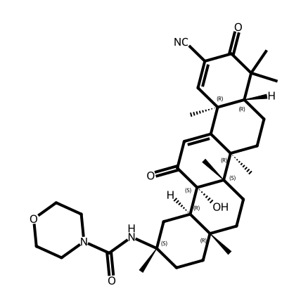 CC1(C)C(=O)C(C#N)=C[C@]2(C)C3=CC(=O)[C@]4(O)[C@@H]5C[C@@](C)(NC(=O)N6CCOCC6)CC[C@@]5(C)CC[C@@]4(C)[C@]3(C)CC[C@@H]12